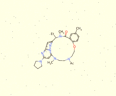 CCC1c2cc3nc(N4CCCC4)cc(n3n2)N(C)CCN(C(C)=O)CCOc2ccc(C)cc2C(=O)N1C